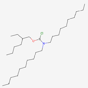 CCCCCCCCCC[N](CCCCCCCCCC)[Ti]([Cl])[O]CC(CC)CCCC